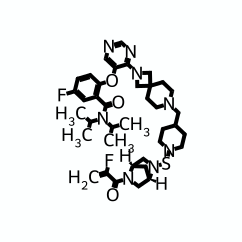 C=C(F)C(=O)N1C[C@@H]2C[C@H]1CN2SN1CCC(CN2CCC3(CC2)CN(c2ncncc2Oc2ccc(F)cc2C(=O)N(C(C)C)C(C)C)C3)CC1